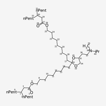 CCCCCC(CCCCC)CC(=O)OCCCCCCCCCC1(CCCCCCCCCOC(=O)CC(CCCCC)CCCCC)OCC(CCN(C)C(C)C)O1